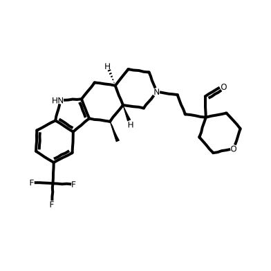 C[C@H]1c2c([nH]c3ccc(C(F)(F)F)cc23)C[C@H]2CCN(CCC3(C=O)CCOCC3)C[C@@H]21